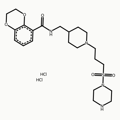 Cl.Cl.O=C(NCC1CCN(CCCS(=O)(=O)N2CCNCC2)CC1)c1cccc2c1OCCO2